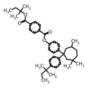 CCC(C)(C)OC(=O)c1ccc(C(=O)Oc2ccc(C3(c4ccc(C(C)(C)CC)cc4)CC(C)CCC(C)(C)C3)cc2)cc1